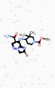 CC(C)(C)OC(=O)N1CCC(Nc2c(C(N)=O)cnn3cc(Br)nc23)C(C)(C)C1